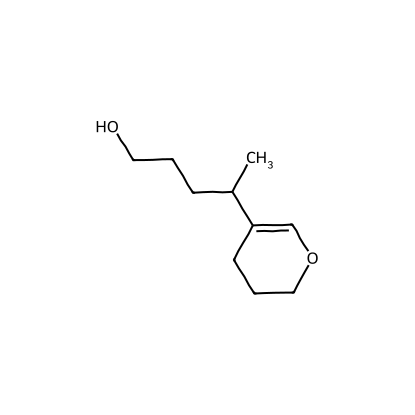 CC(CCCO)C1=COCCC1